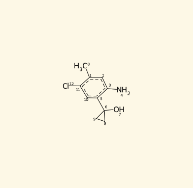 Cc1cc(N)c(C2(O)CC2)cc1Cl